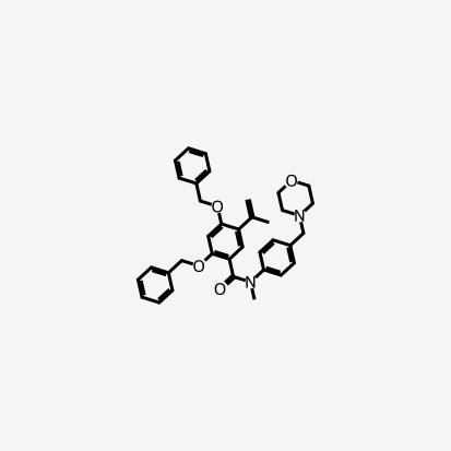 C=C(C)c1cc(C(=O)N(C)c2ccc(CN3CCOCC3)cc2)c(OCc2ccccc2)cc1OCc1ccccc1